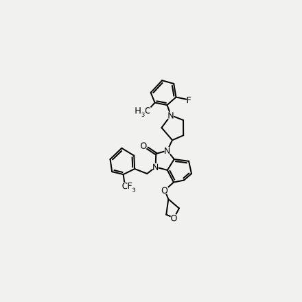 Cc1cccc(F)c1N1CCC(n2c(=O)n(Cc3ccccc3C(F)(F)F)c3c(OC4COC4)cccc32)C1